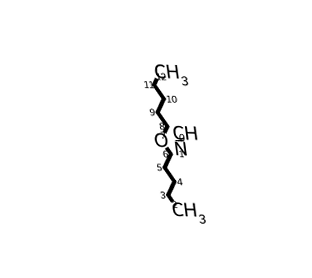 C#N.CCCCCOCCCCC